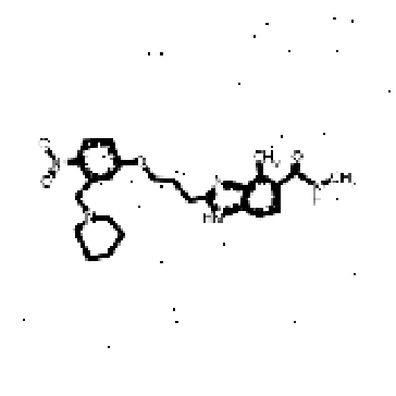 CNC(=O)c1ccc2[nH]c(CCCOc3ccc([N+](=O)[O-])c(CN4CCCCC4)c3)nc2c1C